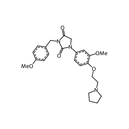 COc1ccc(CN2C(=O)CN(c3ccc(OCCN4CCCC4)c(OC)c3)C2=O)cc1